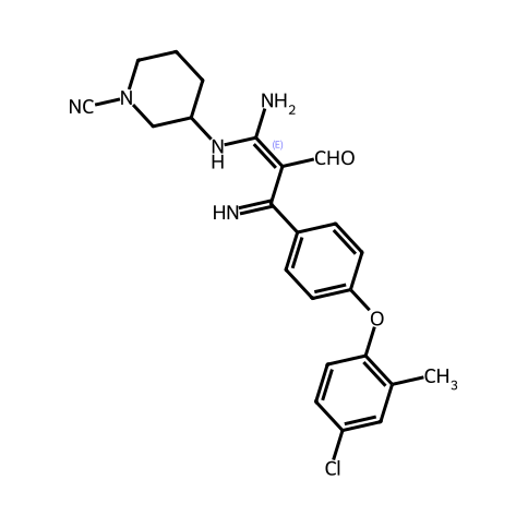 Cc1cc(Cl)ccc1Oc1ccc(C(=N)/C(C=O)=C(/N)NC2CCCN(C#N)C2)cc1